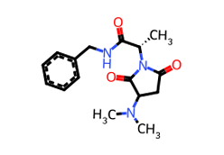 C[C@@H](C(=O)NCc1ccccc1)N1C(=O)CC(N(C)C)C1=O